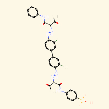 CC(=O)C(/N=N/c1ccc(-c2ccc(/N=N/C(C(C)=O)C(=O)Nc3ccc(S(=O)(=O)O)cc3)c(Cl)c2)cc1Cl)C(=O)Nc1ccccc1